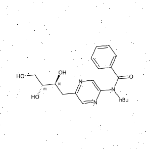 CCCCN(C(=O)c1ccccc1)c1cnc(C[C@H](O)[C@H](O)CO)cn1